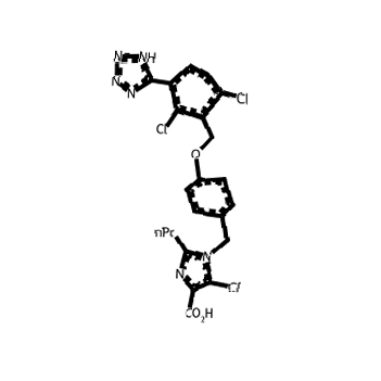 CCCc1nc(C(=O)O)c(Cl)n1Cc1ccc(OCc2c(Cl)ccc(-c3nnn[nH]3)c2Cl)cc1